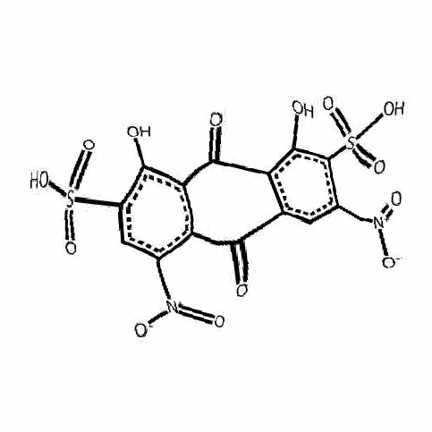 O=C1c2cc([N+](=O)[O-])c(S(=O)(=O)O)c(O)c2C(=O)c2c(O)c(S(=O)(=O)O)cc([N+](=O)[O-])c21